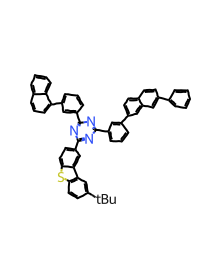 CC(C)(C)c1ccc2sc3ccc(-c4nc(-c5cccc(-c6ccc7ccc(-c8ccccc8)cc7c6)c5)nc(-c5cccc(-c6cccc7ccccc67)c5)n4)cc3c2c1